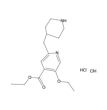 CCOC(=O)c1cc(CC2CCNCC2)ncc1OCC.Cl.Cl